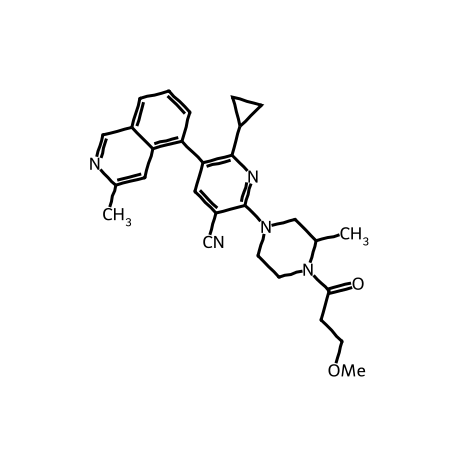 COCCC(=O)N1CCN(c2nc(C3CC3)c(-c3cccc4cnc(C)cc34)cc2C#N)CC1C